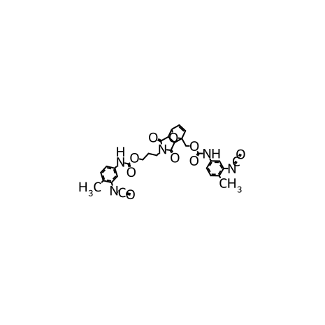 Cc1ccc(NC(=O)OCCCN2C(=O)C3C4C=CC(COC(=O)Nc5ccc(C)c(N=C=O)c5)(O4)C3C2=O)cc1N=C=O